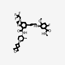 CNC(=O)c1cc(NCC#Cc2cc(C(=O)N[C@H]3CCN(C4CC5(COC5)C4)C[C@@H]3C)c3ncn(CC(F)(F)F)c3c2)c(OC)cc1F